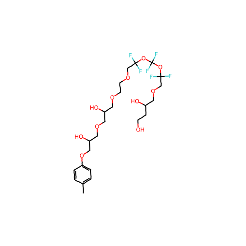 Cc1ccc(OCC(O)COCC(O)COCCOCC(F)(F)OC(F)(F)OC(F)(F)COCC(O)CCO)cc1